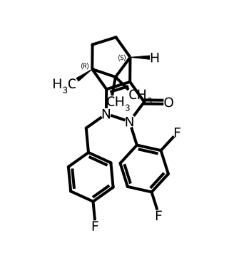 CC1(C)[C@@H]2CC[C@@]1(C)c1c2c(=O)n(-c2ccc(F)cc2F)n1Cc1ccc(F)cc1